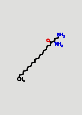 CCCCCCCCC=CCCCCCCCC(=O)C(N)=CCN